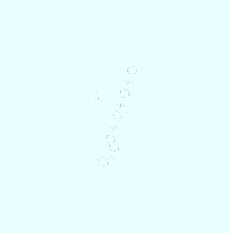 Cc1ccccc1N=Nc1cc(OCCCS(=O)(=O)O)c(N=Nc2cc(C)c(N=Nc3ccc4cc(Nc5ccccc5)ccc4c3O)cc2C)cc1C